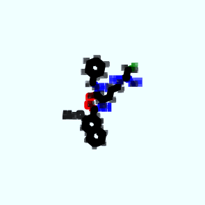 COc1cc2ccccc2cc1C(=O)NC(CCCNC(=N)CF)C(=O)NCc1ccccc1